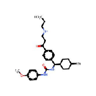 CC(C)(C)C1CCC(C(NC(=O)Nc2ccc(OC(F)(F)F)cc2)c2ccc(C(=O)CCNCCC(=O)O)cc2)CC1